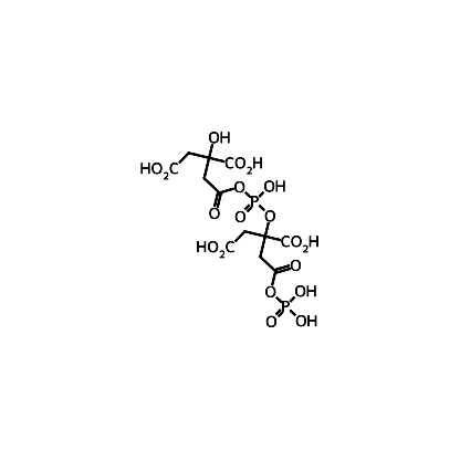 O=C(O)CC(O)(CC(=O)OP(=O)(O)OC(CC(=O)O)(CC(=O)OP(=O)(O)O)C(=O)O)C(=O)O